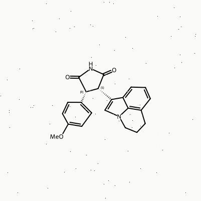 COc1ccc([C@@H]2C(=O)NC(=O)[C@@H]2c2cn3c4c(cccc24)CCC3)cc1